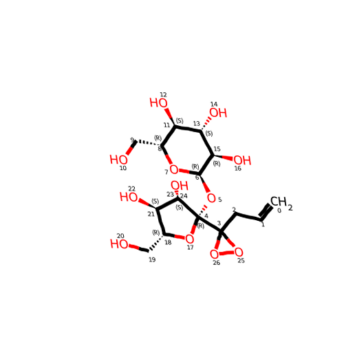 C=CCC1([C@@]2(O[C@H]3O[C@H](CO)[C@@H](O)[C@H](O)[C@H]3O)O[C@H](CO)[C@@H](O)[C@@H]2O)OO1